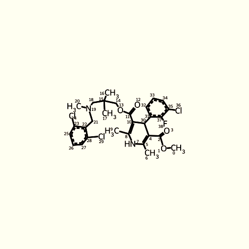 COC(=O)C1=C(C)NC(C)=C(C(=O)OCC(C)(C)CN(C)Cc2c(Cl)cccc2Cl)C1c1cccc(Cl)c1F